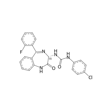 O=C(Nc1ccc(Cl)cc1)N[C@H]1N=C(c2ccccc2F)c2ccccc2NC1=O